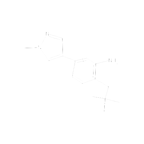 Cn1cc(-c2ccc(CC(C)(C)C)c(N)c2)cn1